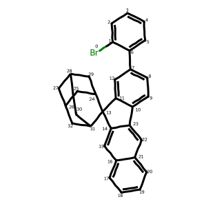 Brc1ccccc1-c1ccc2c(c1)C1(c3cc4ccccc4cc3-2)C2CC3CC(C2)CC1C3